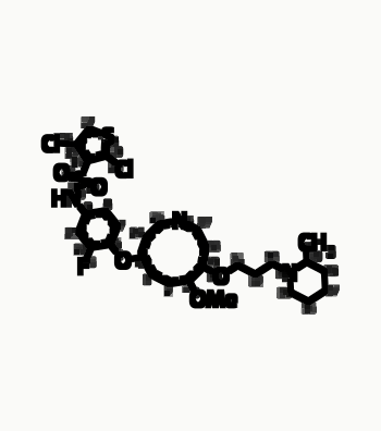 COc1ccc(Oc2ccc(NS(=O)(=O)c3c(Cl)csc3Cl)cc2F)ccnccc1OCCCN1CCCCC1C